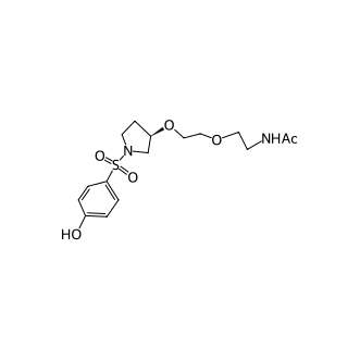 CC(=O)NCCOCCO[C@@H]1CCN(S(=O)(=O)c2ccc(O)cc2)C1